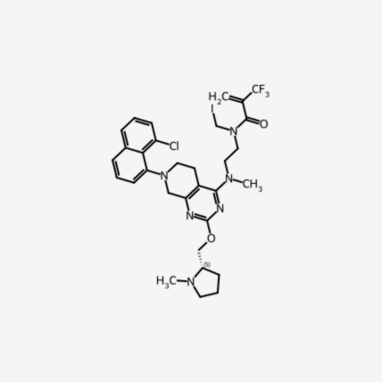 C=C(C(=O)N(CI)CCN(C)c1nc(OC[C@@H]2CCCN2C)nc2c1CCN(c1cccc3cccc(Cl)c13)C2)C(F)(F)F